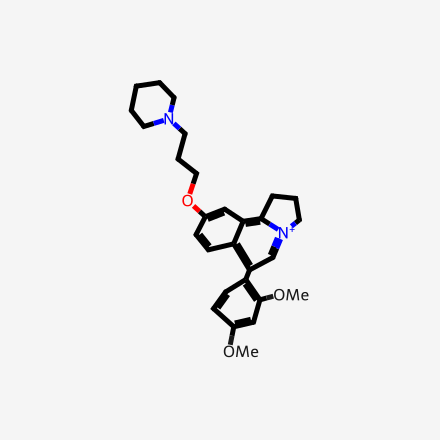 COc1ccc(-c2c[n+]3c(c4cc(OCCCN5CCCCC5)ccc24)CCC3)c(OC)c1